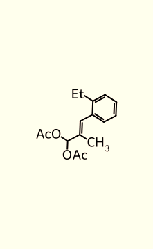 CCc1ccccc1/C=C(\C)C(OC(C)=O)OC(C)=O